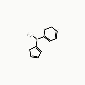 [CH3][Ir]([C]1=CC=CC1)[C]1=CC=CCC1